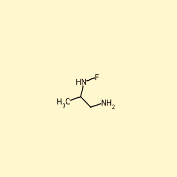 CC(CN)NF